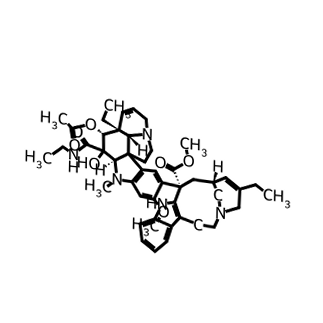 CCNC(=O)C1(O)[C@@H]2N(C)c3cc(OC)c([C@@]4(C(=O)OC)C[C@@H]5C=C(CC)CN(CCc6c4[nH]c4ccccc64)C5)cc3C23CCN2CC=C[C@](CC)([C@H]23)[C@H]1OC(C)=O